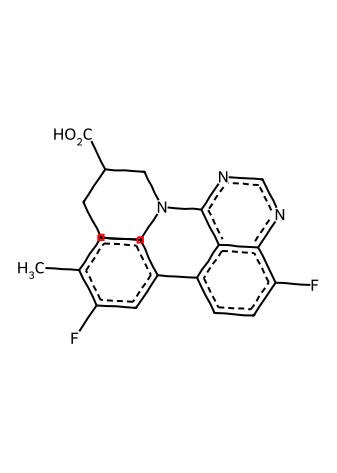 Cc1ccc(-c2ccc(F)c3ncnc(N4CCCC(C(=O)O)C4)c23)cc1F